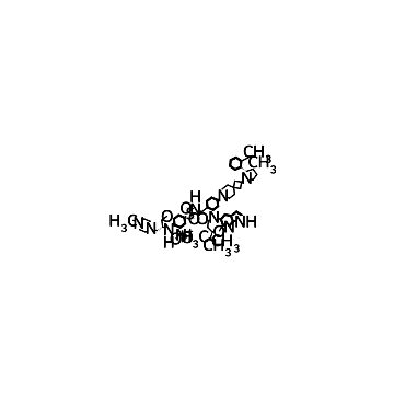 CC(C)c1ccccc1[C@@H]1CCCN1C1CC2(CCN(c3ccc(C(=O)NS(=O)(=O)c4cc5c(c([N+](=O)[O-])c4)N[C@H](CN4CCN(C)CC4)CO5)c(N4CC[C@H](C(C)(C)C)Oc5nc6[nH]ccc6cc54)c3)CC2)C1